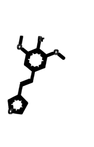 COc1cc(C=Cc2ccoc2)cc(OC)c1Br